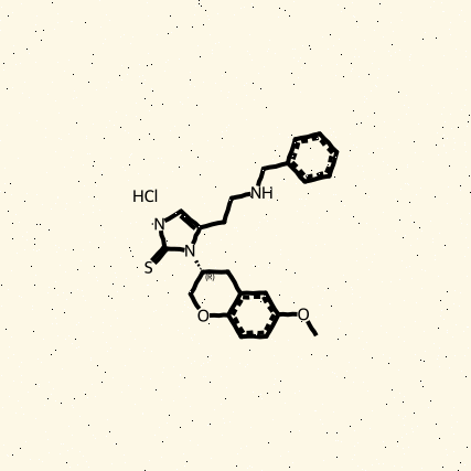 COc1ccc2c(c1)C[C@@H](N1C(=S)[N]C=C1CCNCc1ccccc1)CO2.Cl